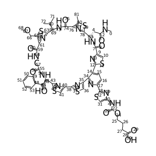 CNC(=O)C[C@@H]1NC(=O)c2csc(n2)-c2ccc(-c3nc(NC(=O)OCCCC(=O)O)cs3)nc2-c2csc(n2)-c2csc(n2)[C@H]([C@@H](O)c2ccccc2)NC(=O)CNC(=O)c2nc(sc2COC)[C@@H](C(C)C)NC(=O)c2nc1sc2C